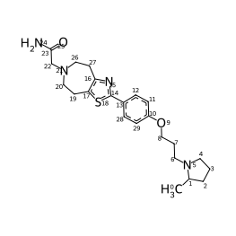 CC1CCCN1CCCOc1ccc(-c2nc3c(s2)CCN(CC(N)=O)CC3)cc1